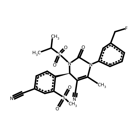 CC1=C(C#N)[C@@H](c2ccc(C#N)cc2S(C)(=O)=O)N(S(=O)(=O)C(C)C)C(=O)N1c1cccc(CF)c1